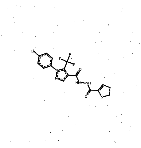 O=C(NNC(=O)c1cnn(-c2ccc(Cl)cc2)c1C(F)(F)F)C1=CCCS1